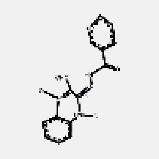 O=CC1=[N+]([O-])c2ccccc2[NH+]([O-])/C1=N/NC(=O)c1cccnc1